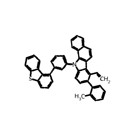 C=Cc1c(-c2ccccc2C)ccc2c1c1ccc3ccccc3c1n2-c1cccc(-c2cccc3sc4ccccc4c23)c1